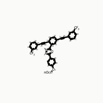 CCCCCCCCOc1ccc(-c2nnc(-c3cc(C#Cc4cccc(C(F)(F)F)c4)ccc3C#Cc3cccc(C(F)(F)F)c3)o2)cc1